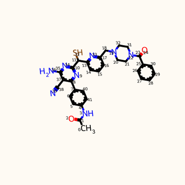 CC(=O)Nc1ccc(-c2nc(C(S)c3cccc(CN4CCN(C(=O)c5ccccc5)CC4)n3)nc(N)c2C#N)cc1